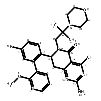 COc1ncccc1-c1cc(F)ccc1C1Cc2nc(N)nc(C)c2C(=O)N1CC(C)(C)N1CCOCC1